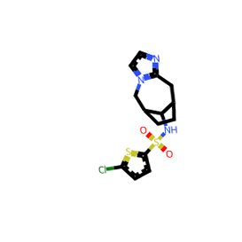 O=S(=O)(NC1C2CCC1Cn1ccnc1C2)c1ccc(Cl)s1